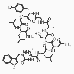 CC(C)C[C@H](NC(=O)[C@H](CC(C)C)NC(=O)[C@H](Cc1ccc(O)cc1)NC(=O)CNC(=O)[C@H](C)NC(=O)[C@H](CO)NC(=O)[C@H](CC(N)=O)NC(=O)[C@H](CC(C)C)NC(=O)[C@@H](NC(=O)[C@@H](N)Cc1c[nH]c2ccccc12)[C@@H](C)O)C(N)=O